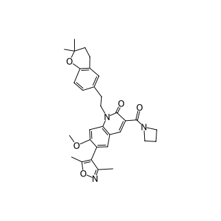 COc1cc2c(cc1-c1c(C)noc1C)cc(C(=O)N1CCC1)c(=O)n2CCc1ccc2c(c1)CCC(C)(C)O2